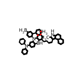 Bc1ccc(N2c3cc(N(C4=CC=CCC4)c4ccccc4)ccc3Bc3c(CC/C=C\c4c(C)[nH]c5ccc6ccccc6c45)cc(C)cc32)c(-c2ccccc2)c1